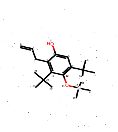 C=CCc1c(O)cc(C(C)(C)C)c(O[Si](C)(C)C)c1C(C)(C)C